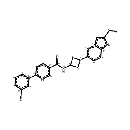 CCc1cn2nc(N3CC(NC(=O)c4ccc(-c5cccc(F)c5)nc4)C3)ccc2n1